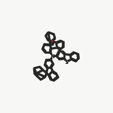 c1ccc2c(c1)-c1cc(N(c3ccc4c(c3)sc3ccccc34)c3cccc4c3-c3ccccc3C43C4CC5CC(C4)CC3C5)ccc1C21C2CC3CC(C2)CC1C3